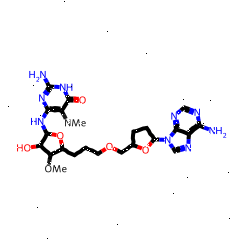 CNc1c(NC2OC(CCCOCC3CCC(n4cnc5c(N)ncnc54)O3)C(OC)C2O)nc(N)[nH]c1=O